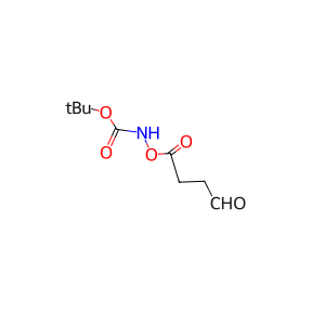 CC(C)(C)OC(=O)NOC(=O)CCC=O